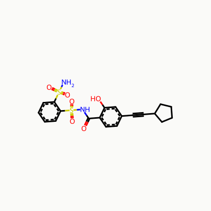 NS(=O)(=O)c1ccccc1S(=O)(=O)NC(=O)c1ccc(C#CC2CCCC2)cc1O